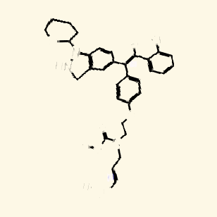 CC/C(=C(/c1ccc(OCCN(C/C=C/C(=O)O)C(=O)OC(C)(C)C)cc1)c1ccc2c(c1)CNN2C1CCCCO1)c1ccccc1C